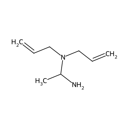 C=CCN(CC=C)C(C)N